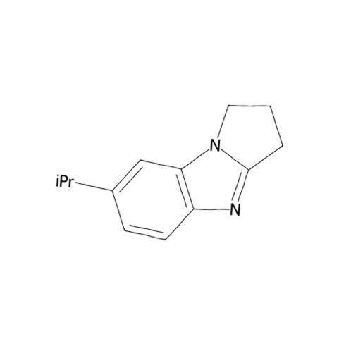 CC(C)c1ccc2nc3n(c2c1)CCC3